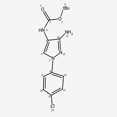 CC(C)(C)OC(=O)Nc1cn(-c2ccc(Cl)cc2)nc1N